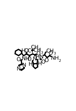 CCC(NC(=O)[C@@H]1[C@H]2CCC[C@H]2CN1C(=O)[C@@H](C(=O)C(=O)[C@@H](NC(=O)c1cnccn1)C1CCCCC1)C(C)(C)C)C(=O)C(N)=O